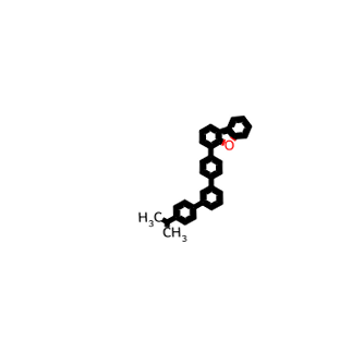 CC(C)c1ccc(-c2cccc(-c3ccc(-c4cccc5c4oc4ccccc45)cc3)c2)cc1